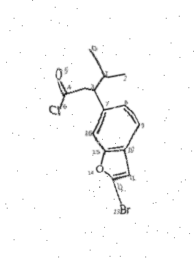 CC(C)C(C(=O)Cl)c1ccc2cc(Br)oc2c1